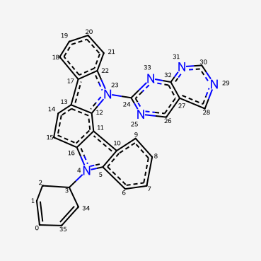 C1=CCC(n2c3ccccc3c3c4c(ccc32)c2ccccc2n4-c2ncc3cncnc3n2)C=C1